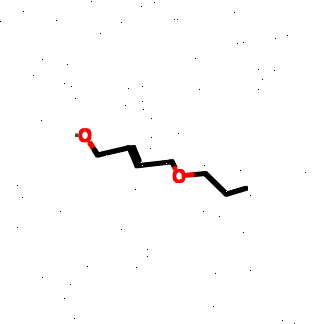 CCCOCC=CC[O]